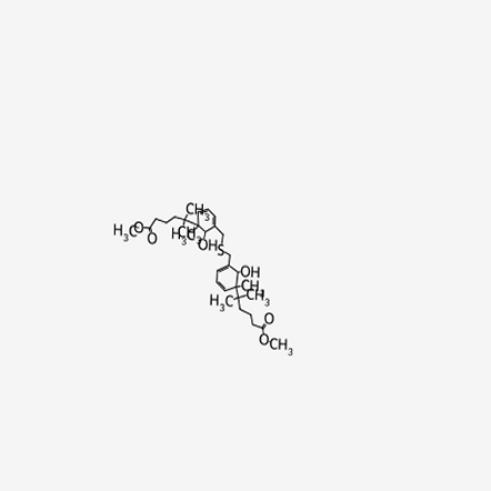 COC(=O)CCCC(C)(C)C1(C)C=CC=C(CSCC2=CC=CC(C)(C(C)(C)CCCC(=O)OC)C2O)C1O